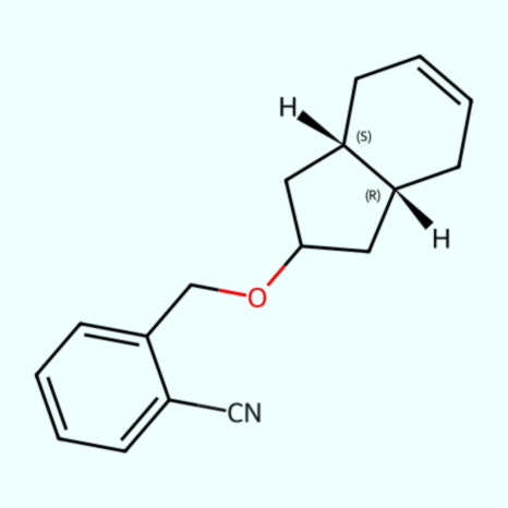 N#Cc1ccccc1COC1C[C@H]2CC=CC[C@H]2C1